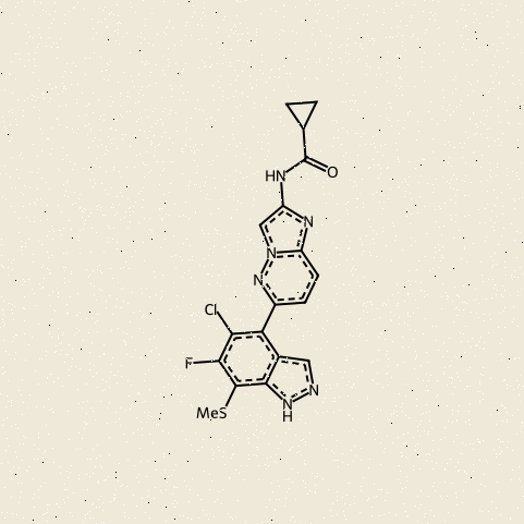 CSc1c(F)c(Cl)c(-c2ccc3nc(NC(=O)C4CC4)cn3n2)c2cn[nH]c12